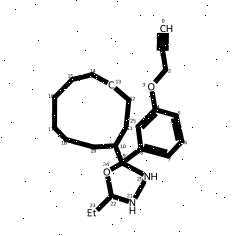 C#CCOc1cccc(C2(C3CCCCCCCCC3)NNC(CC)O2)c1